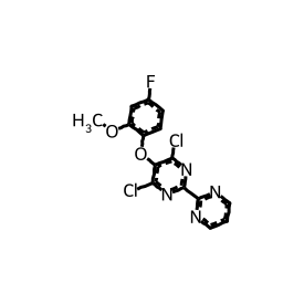 COc1cc(F)ccc1Oc1c(Cl)nc(-c2ncccn2)nc1Cl